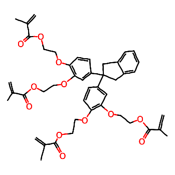 C=C(C)C(=O)OCCOc1ccc(C2(c3ccc(OCCOC(=O)C(=C)C)c(OCCOC(=O)C(=C)C)c3)Cc3ccccc3C2)cc1OCCOC(=O)C(=C)C